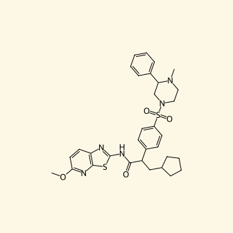 COc1ccc2nc(NC(=O)C(CC3CCCC3)c3ccc(S(=O)(=O)N4CCN(C)C(c5ccccc5)C4)cc3)sc2n1